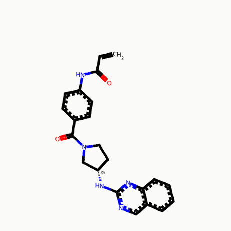 C=CC(=O)Nc1ccc(C(=O)N2CC[C@H](Nc3ncc4ccccc4n3)C2)cc1